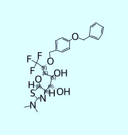 CN(C)C1=N[C@@H]2[C@@H](O)[C@H](O)[C@@H]([C@@H](OCc3ccc(OCc4ccccc4)cc3)C(F)(F)F)O[C@@H]2S1